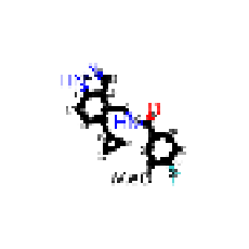 COc1cc(C(=O)NCc2c(C3CC3)ccc3[nH]ncc23)ccc1F